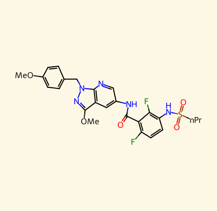 CCCS(=O)(=O)Nc1ccc(F)c(C(=O)Nc2cnc3c(c2)c(OC)nn3Cc2ccc(OC)cc2)c1F